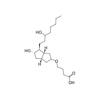 CCCCCC(O)CC[C@H]1[C@@H]2CC(OCCCC(=O)O)C[C@@H]2C[C@@H]1O